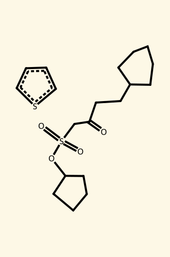 O=C(CCC1CCCCC1)CS(=O)(=O)OC1CCCC1.c1ccsc1